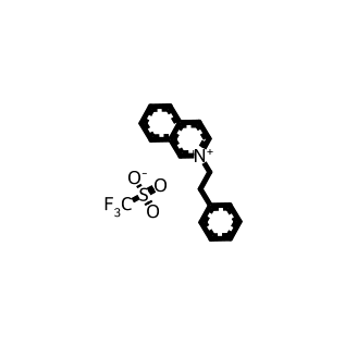 O=S(=O)([O-])C(F)(F)F.c1ccc(CC[n+]2ccc3ccccc3c2)cc1